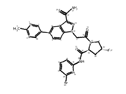 Cc1ncc(-c2ccc3c(c2)c(C(N)=S)nn3CC(=O)N2C[C@H](F)C[C@H]2C(=O)Nc2cccc(Br)n2)cn1